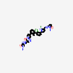 Cc1c(-c2ccn3c(=O)c(CN[C@H]4CNC(=O)C4)cnc3c2)cccc1-c1cccc(-c2ccc(CNC[C@@H]3CCC(=O)N3)c(F)n2)c1Cl